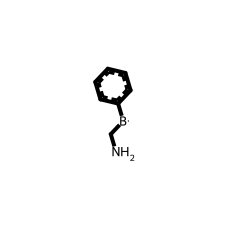 NC[B]c1ccccc1